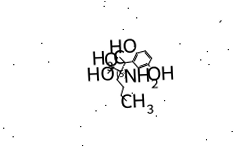 CCCC[C@@](N)(C(=O)O)C(C)c1cc(O)ccc1O